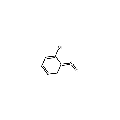 O=S=C1CC=CC=C1O